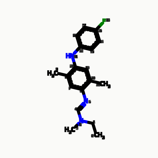 CCN(C)C=Nc1cc(C)c(Nc2ccc(F)cc2)cc1C